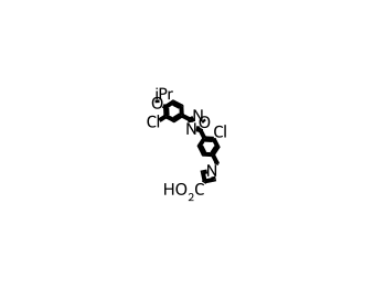 CC(C)Oc1ccc(-c2noc(-c3ccc(CN4CC(C(=O)O)C4)cc3Cl)n2)cc1Cl